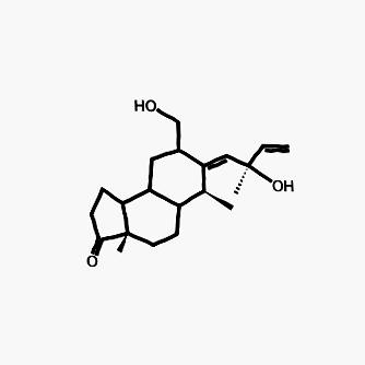 C=C[C@@](C)(O)/C=C1/C(CO)CC2C(CC[C@]3(C)C(=O)CCC23)[C@@H]1C